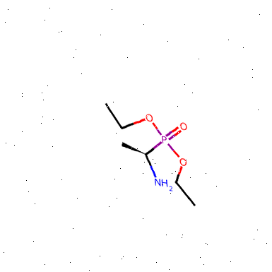 CCOP(=O)(OCC)[C@H](C)N